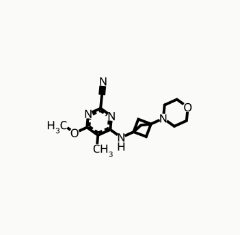 COc1nc(C#N)nc(NC23CC(N4CCOCC4)(C2)C3)c1C